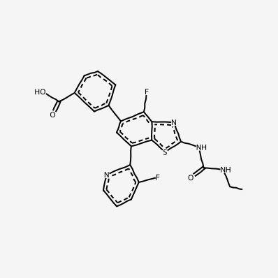 CCNC(=O)Nc1nc2c(F)c(-c3cccc(C(=O)O)c3)cc(-c3ncccc3F)c2s1